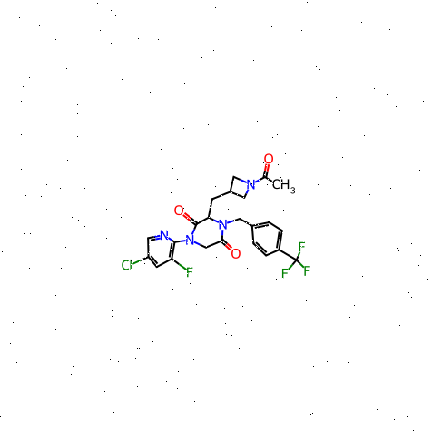 CC(=O)N1CC(CC2C(=O)N(c3ncc(Cl)cc3F)CC(=O)N2Cc2ccc(C(F)(F)F)cc2)C1